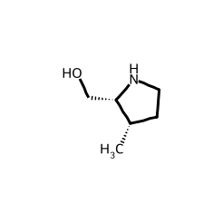 C[C@H]1CCN[C@H]1CO